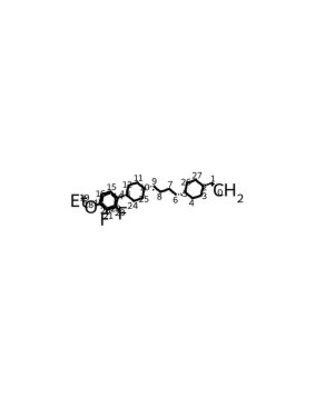 C=C[C@H]1CC[C@H]([CH]CC[CH][C@H]2CC[C@H](c3ccc(OCC)c(F)c3F)CC2)CC1